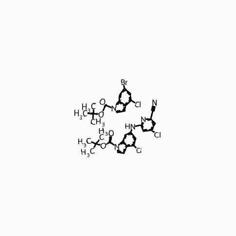 CC(C)(C)OC(=O)n1ccc2c(Cl)cc(Br)cc21.CC(C)(C)OC(=O)n1ccc2c(Cl)cc(Nc3cc(Cl)cc(C#N)n3)cc21